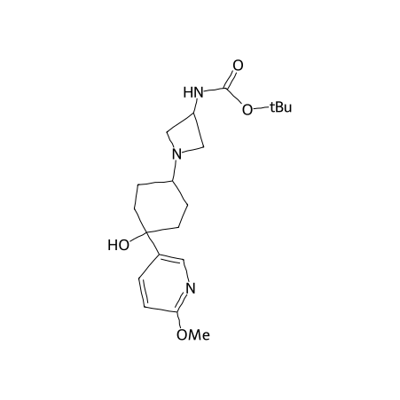 COc1ccc(C2(O)CCC(N3CC(NC(=O)OC(C)(C)C)C3)CC2)cn1